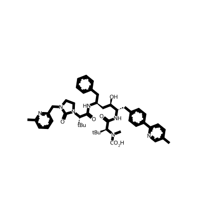 Cc1ccc(-c2ccc(C[C@H](NC(=O)[C@@H](N(C)C(=O)O)C(C)(C)C)[C@H](O)C[C@H](Cc3ccccc3)NC(=O)[C@@H](N3CCN(Cc4cccc(C)n4)C3=O)C(C)(C)C)cc2)nc1